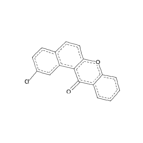 O=c1c2ccccc2oc2ccc3ccc(Cl)cc3c12